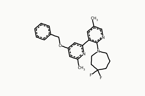 Cc1cnc(N2CCCC(F)(F)CC2)c(-c2cc(OCc3ccccc3)cc(C)n2)c1